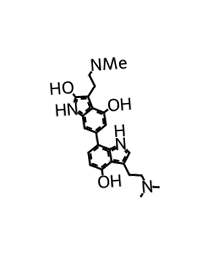 CNCCc1c(O)[nH]c2cc(-c3ccc(O)c4c(CCN(C)C)c[nH]c34)cc(O)c12